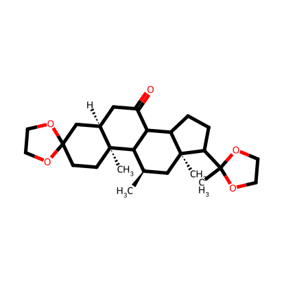 C[C@@H]1C[C@@]2(C)C(CCC2C2(C)OCCO2)C2C(=O)C[C@@H]3CC4(CC[C@]3(C)C21)OCCO4